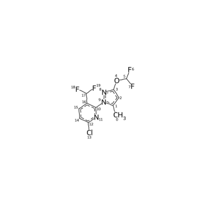 Cc1cc(OC(F)F)nn1-c1nc(Cl)ccc1C(F)F